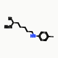 CCC(CCCCCNc1ccc(C)cc1)NC